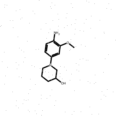 COc1cc(N2CCCC(O)C2)ccc1N